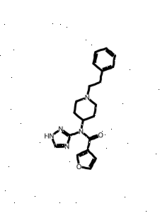 O=C(c1ccoc1)N(c1nc[nH]n1)C1CCN(CCc2ccccc2)CC1